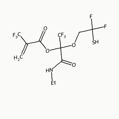 C=C(C(=O)OC(OCC(F)(F)S)(C(=O)NCC)C(F)(F)F)C(F)(F)F